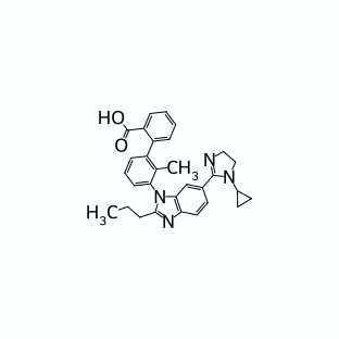 CCCc1nc2ccc(C3=NCCN3C3CC3)cc2n1-c1cccc(-c2ccccc2C(=O)O)c1C